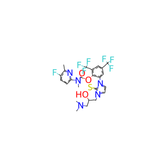 Cc1nc(N(C)C(=O)Oc2c(-n3ccn(CC(O)CN(C)C)c3=S)cc(C(F)(F)F)cc2C(F)(F)F)ccc1F